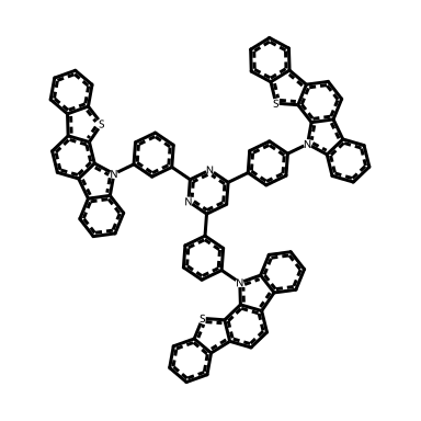 c1cc(-c2cc(-c3ccc(-n4c5ccccc5c5ccc6c7ccccc7sc6c54)cc3)nc(-c3cccc(-n4c5ccccc5c5ccc6c7ccccc7sc6c54)c3)n2)cc(-n2c3ccccc3c3ccc4c5ccccc5sc4c32)c1